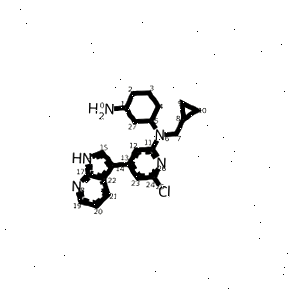 NC1CCCC(N(CC2CC2)c2cc(-c3c[nH]c4ncccc34)cc(Cl)n2)C1